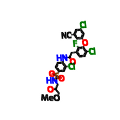 COCC(=O)CNS(=O)(=O)c1ccc(NC(=O)Cc2ccc(Cl)c(Oc3cc(Cl)cc(C#N)c3)c2F)c(Cl)c1